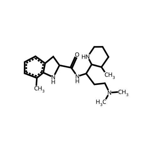 Cc1cccc2c1NC(C(=O)NC(CCN(C)C)C1NCCCC1C)C2